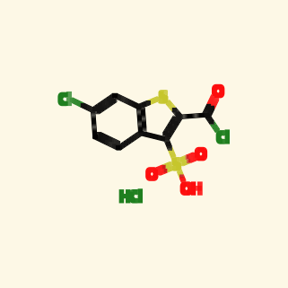 Cl.O=C(Cl)c1sc2cc(Cl)ccc2c1S(=O)(=O)O